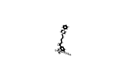 CCS(=O)(=O)Nc1cc(C(=O)CCCCN2CCN(c3ccccc3)CC2)ccc1OC